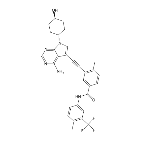 Cc1ccc(C(=O)Nc2ccc(C)c(C(F)(F)F)c2)cc1C#Cc1cn([C@H]2CC[C@H](O)CC2)c2ncnc(N)c12